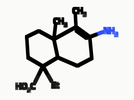 CCC1(C(=O)O)CCCC2(C)C(C)=C(N)CCC21